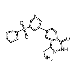 NCc1n[nH]c(=O)c2ccc(-c3cncc(S(=O)(=O)c4ccccc4)c3)cc12